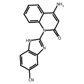 N#Cc1ccc2[nH]c(-n3c(=O)cc(N)c4ccccc43)nc2c1